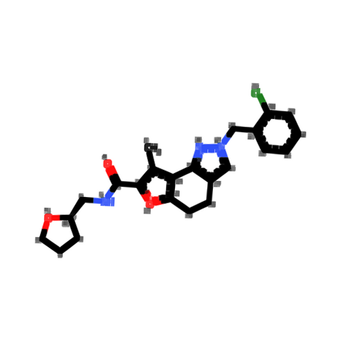 Cc1c(C(=O)NC[C@H]2CCCO2)oc2c1-c1nn(Cc3ccccc3Cl)cc1CC2